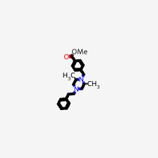 COC(=O)c1ccc(CN2[C@H](C)CN(CCc3ccccc3)C[C@@H]2C)cc1